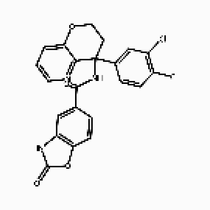 O=C(NC1(c2ccc(Cl)c(Cl)c2)CCOc2cccnc21)c1ccc2oc(=O)[nH]c2c1